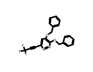 FC(F)(F)C#Cc1cc(OCc2ccccc2)c(OCc2ccccc2)nn1